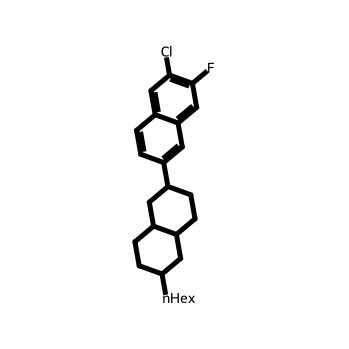 CCCCCCC1CCC2CC(c3ccc4cc(Cl)c(F)cc4c3)CCC2C1